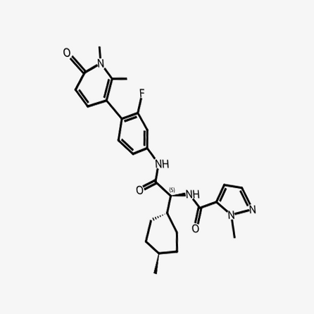 Cc1c(-c2ccc(NC(=O)[C@@H](NC(=O)c3ccnn3C)[C@H]3CC[C@H](C)CC3)cc2F)ccc(=O)n1C